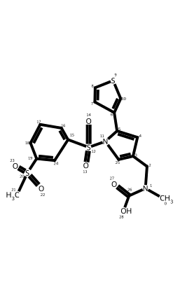 CN(Cc1cc(-c2ccsc2)n(S(=O)(=O)c2cccc(S(C)(=O)=O)c2)c1)C(=O)O